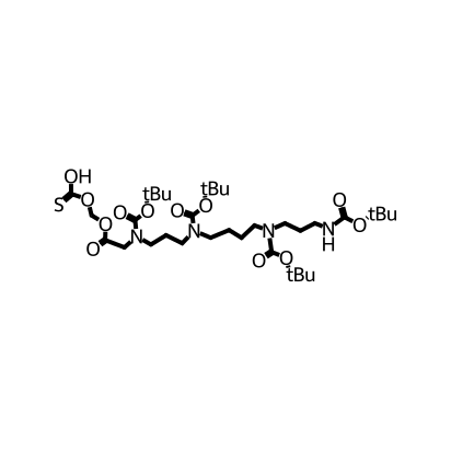 CC(C)(C)OC(=O)NCCCN(CCCCN(CCCN(CC(=O)OCOC(O)=S)C(=O)OC(C)(C)C)C(=O)OC(C)(C)C)C(=O)OC(C)(C)C